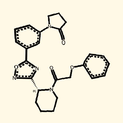 O=C1CCCN1c1cccc(-c2nc([C@H]3CCCCN3C(=O)COc3ccccc3)no2)c1